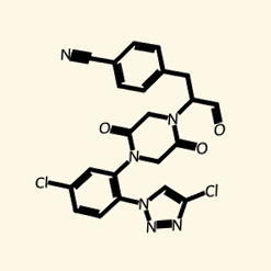 N#Cc1ccc(CC(C=O)N2CC(=O)N(c3cc(Cl)ccc3-n3cc(Cl)nn3)CC2=O)cc1